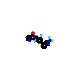 O=C1c2cccnc2CN1Cc1c(F)cc(-c2cccc3nn(C(F)F)cc23)cc1F